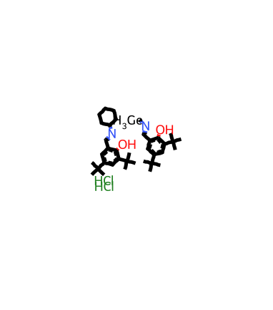 CC(C)(C)c1cc(C=NC2CCCCC2)c(O)c(C(C)(C)C)c1.CC(C)(C)c1cc(C=[N][GeH3])c(O)c(C(C)(C)C)c1.Cl.Cl